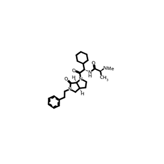 CN[C@@H](C)C(=O)N[C@H](C(=O)N1CC[C@H]2CN(CCc3ccccc3)C(=O)[C@H]21)C1CCCCC1